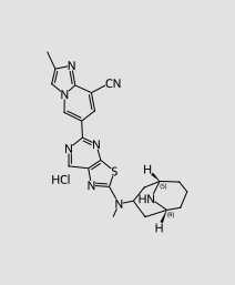 Cc1cn2cc(-c3ncc4nc(N(C)C5C[C@H]6CCC[C@@H](C5)N6)sc4n3)cc(C#N)c2n1.Cl